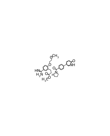 COCCOc1ccc(C(=N)N)cc1CC(C(=O)OC)[C@H]1CCCN1C(=O)c1ccc(-c2ccc(=O)[nH]c2)cc1